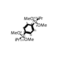 CO[Si](OC)(c1ccc([Si](OC)(OC)C(C)C)cc1)C(C)C